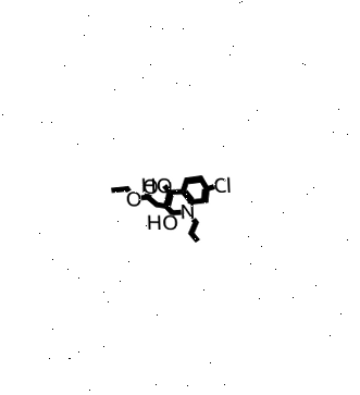 CCCN1c2cc(Cl)ccc2C(O)=C(CC(=O)OCC)C1O